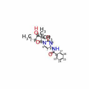 CC[C@H]1O[C@@H](n2ccc(NC(=O)c3ccccc3)nc2=O)C(C)(C)[C@H]1O